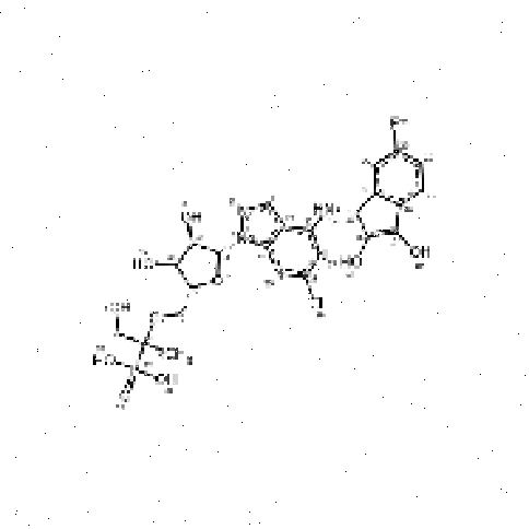 CC(CO)(OC[C@H]1O[C@@H](n2ncc3c(N[C@H]4C(O)=C(O)c5ccc(F)cc54)nc(Cl)nc32)[C@H](O)[C@@H]1O)P(=O)(O)O